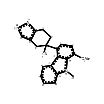 COc1ccc(C2(C#N)CCc3n[nH]cc3C2)c2c3ccccc3n(C)c12